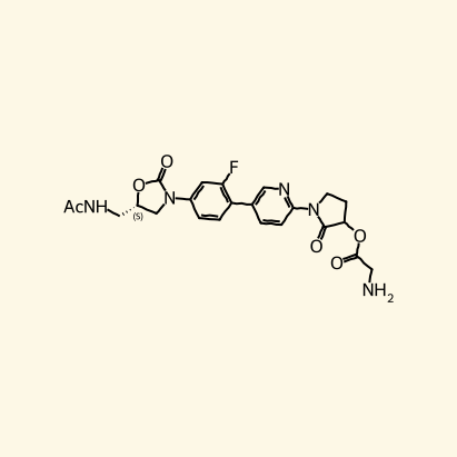 CC(=O)NC[C@H]1CN(c2ccc(-c3ccc(N4CCC(OC(=O)CN)C4=O)nc3)c(F)c2)C(=O)O1